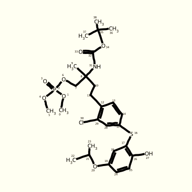 COP(=O)(OC)OCC(C)(CCc1ccc(Sc2cc(OC(C)C)ccc2O)cc1Cl)NC(=O)OC(C)(C)C